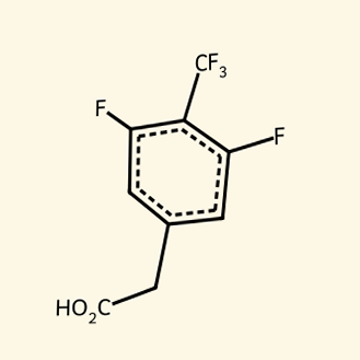 O=C(O)Cc1cc(F)c(C(F)(F)F)c(F)c1